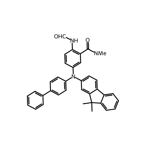 CNC(=O)c1cc(N(c2ccc(-c3ccccc3)cc2)c2ccc3c(c2)C(C)(C)c2ccccc2-3)ccc1NC=O